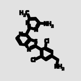 Cc1cc(N)nc(-c2nccc3nc(-c4c(Cl)cc(CN)cc4Cl)sc23)n1